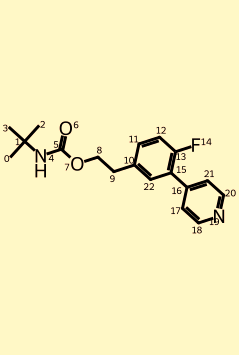 CC(C)(C)NC(=O)OCCc1ccc(F)c(-c2ccncc2)c1